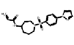 C=CC(=O)NC1CCCN(S(=O)(=O)c2ccc(-n3cccn3)cc2)CC1